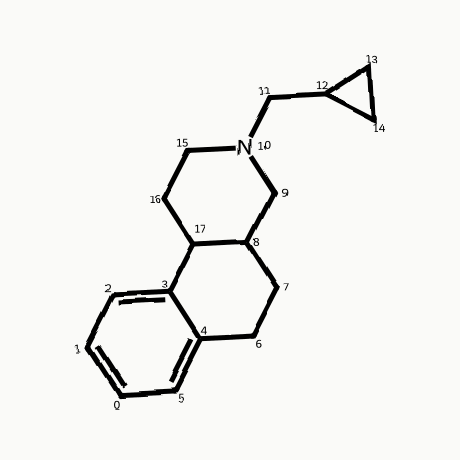 c1ccc2c(c1)CCC1CN(CC3CC3)CCC21